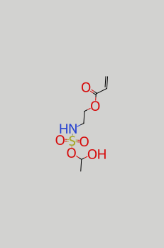 C=CC(=O)OCCNS(=O)(=O)OC(C)O